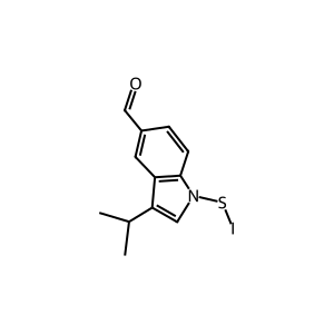 CC(C)c1cn(SI)c2ccc(C=O)cc12